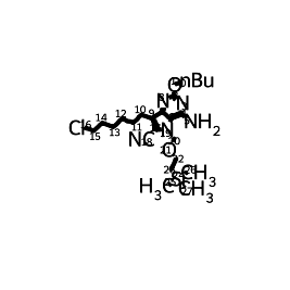 CCCCOc1nc(N)c2c(n1)c(CCCCCCCl)c(C#N)n2COCC[Si](C)(C)C